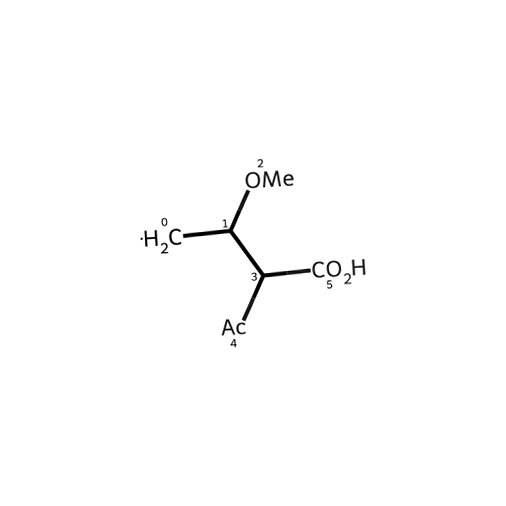 [CH2]C(OC)C(C(C)=O)C(=O)O